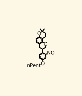 CCCCCOc1ccc(C2COc3c(ccc4c3CCC(C)(C)O4)C2)c(N=O)c1